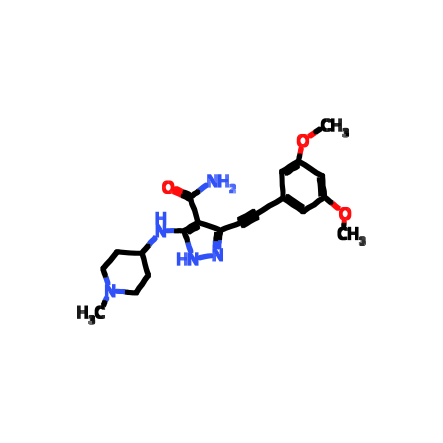 COc1cc(C#Cc2n[nH]c(NC3CCN(C)CC3)c2C(N)=O)cc(OC)c1